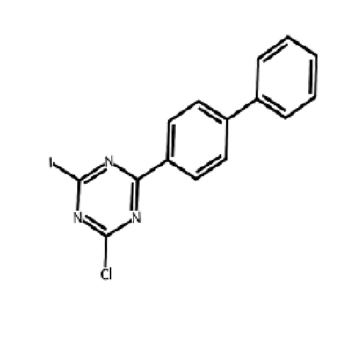 Clc1nc(I)nc(-c2ccc(-c3ccccc3)cc2)n1